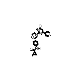 CC1CC1C(=O)Nc1ccc([C@H]2CN(c3nc(-c4ccncc4)cc(=O)n3C)CCO2)cc1